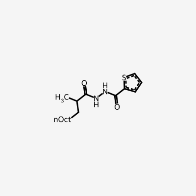 CCCCCCCCCC(C)C(=O)NNC(=O)c1cccs1